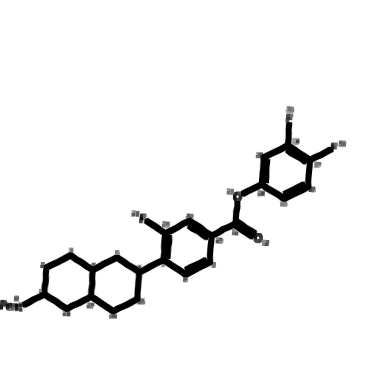 CCCCCC1CCC2CC(c3ccc(C(=O)Oc4ccc(F)c(F)c4)cc3F)CCC2C1